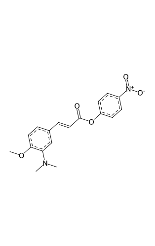 COc1ccc(C=CC(=O)Oc2ccc([N+](=O)[O-])cc2)cc1N(C)C